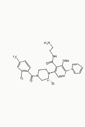 CC[C@@H]1CN(C(=O)c2ccc(C(F)(F)F)cc2Cl)CCN1c1ccc(-c2ccccc2)c(OC)c1C(=O)NCCN